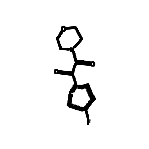 O=C(C(=O)N1CCOCC1)c1ccc(F)cc1